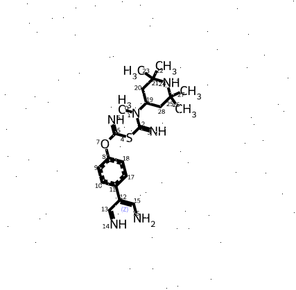 CN(C(=N)SC(=N)Oc1ccc(/C(C=N)=C/N)cc1)C1CC(C)(C)NC(C)(C)C1